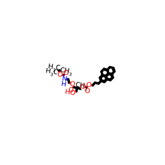 CC(C)(C)OC(=O)NCCOC(=O)C(C)(CO)COC(=O)OCCCc1cc2c3c4c(ccc3c1)C=CCC4=CC2